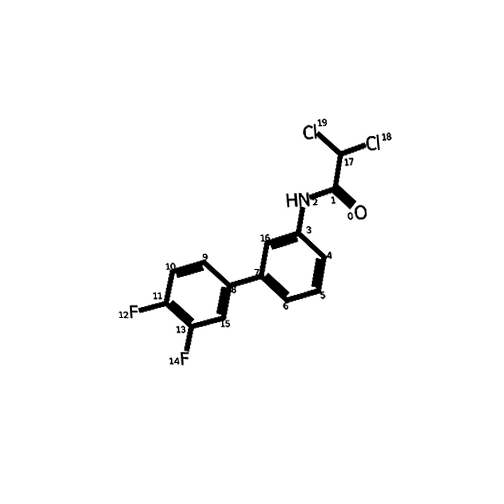 O=C(Nc1cccc(-c2ccc(F)c(F)c2)c1)C(Cl)Cl